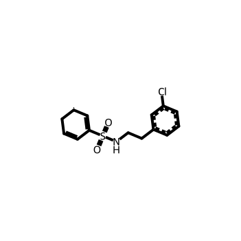 O=S(=O)(NCCc1cccc(Cl)c1)C1=C[CH]CC=C1